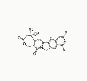 CC[C@@]1(O)CC(=O)OCc2c1cc1n(c2=O)Cc2cc3c(F)cc(F)cc3nc2-1